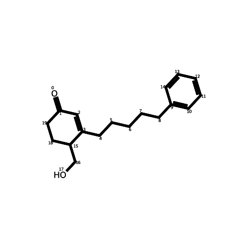 O=C1C=C(CCCCCc2ccccc2)C(CO)CC1